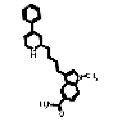 Cn1cc(CCCCC2CC(c3ccccc3)=CCN2)c2cc(C(N)=O)ccc21